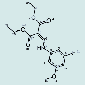 CCOC(=O)C(=CNc1cc(F)cc(OC)c1)C(=O)OCC